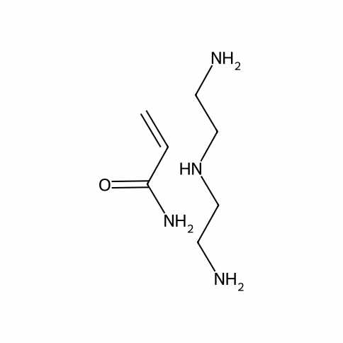 C=CC(N)=O.NCCNCCN